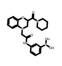 O=C(CN1CC(C(=O)N2CCCCC2)Oc2ccccc21)Nc1cccc(N(O)O)c1